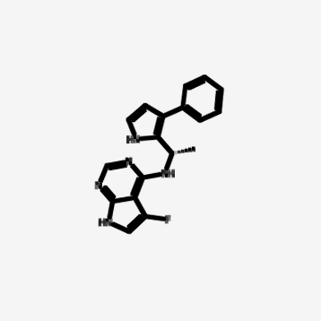 C[C@H](Nc1ncnc2[nH]cc(F)c12)c1[nH]ccc1-c1ccccc1